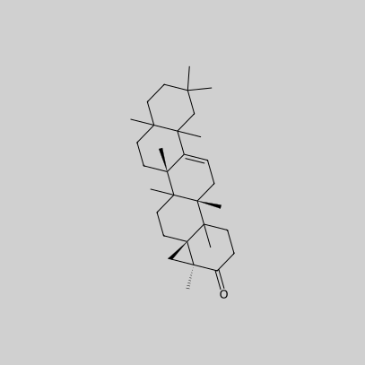 CC1(C)CCC2(C)CC[C@]3(C)C(=CC[C@]4(C)C5(C)CCC(=O)[C@@]6(C)C[C@@]56CCC43C)C2(C)C1